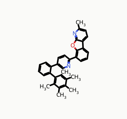 Cc1ccc2c(n1)oc1c(-c3ccc(-c4ccccc4-c4c(C)c(C)c(C)c(C)c4C)cn3)cccc12